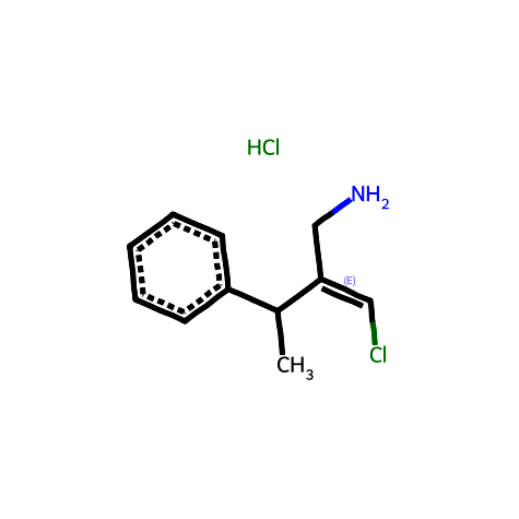 CC(/C(=C\Cl)CN)c1ccccc1.Cl